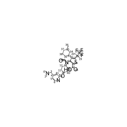 CN(C)Cc1ccnc(O[C@H]2CC[C@H](N(c3cc(C(C)(C)C(F)(F)F)sc3C(=O)O)C(=O)[C@H]3CC[C@H](C)CC3)CC2)c1